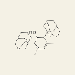 Cc1cc(C)c(C23CC4CC(CC(C4)C2)C3)c(O)c1C12CC3CC(CC(C3)C1)C2